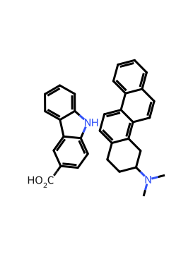 CN(C)C1CCc2ccc3c(ccc4ccccc43)c2C1.O=C(O)c1ccc2[nH]c3ccccc3c2c1